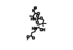 COC(=O)CCNC(O)[C@@H]1OP(=O)(N[C@@H](C)C(=O)N=O)OCC1(C)C